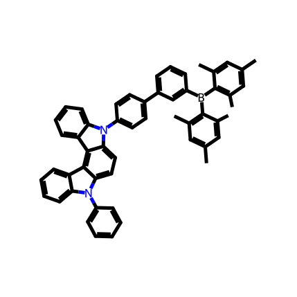 Cc1cc(C)c(B(c2cccc(-c3ccc(-n4c5ccccc5c5c6c7ccccc7n(-c7ccccc7)c6ccc54)cc3)c2)c2c(C)cc(C)cc2C)c(C)c1